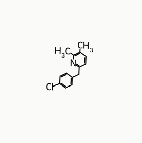 Cc1ccc(Cc2ccc(Cl)cc2)nc1C